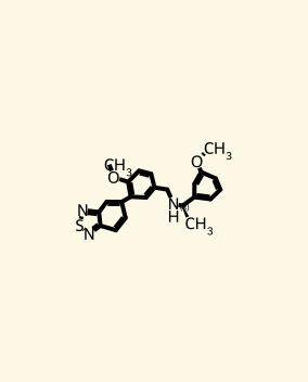 COc1cccc([C@@H](C)NCc2ccc(OC)c(-c3ccc4nsnc4c3)c2)c1